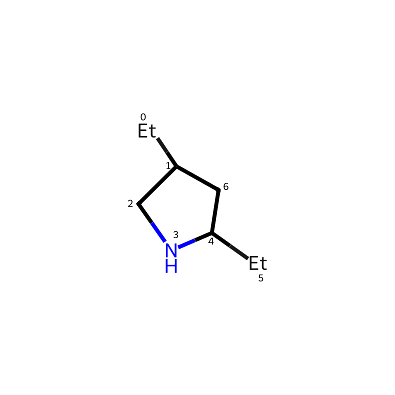 CCC1CNC(CC)C1